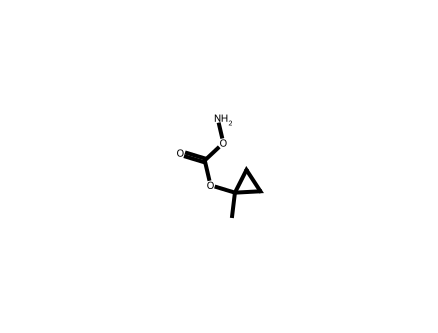 CC1(OC(=O)ON)CC1